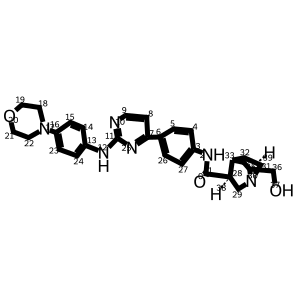 O=C(Nc1ccc(-c2ccnc(Nc3ccc(N4CCOCC4)cc3)n2)cc1)[C@@H]1CN2CCC1C[C@H]2CO